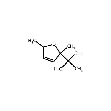 CC1C=CC(C)(C(C)(C)C)O1